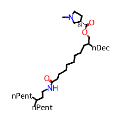 CCCCCCCCCCC(CCCCCCCCC(=O)NCCC(CCCCC)CCCCC)COC(=O)[C@H]1CCN(C)C1